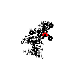 CC[C@@H]1[C@@H](O)C(OC2C(NCc3ccccc3)C[C@H](NCc3ccccc3)C(OC3O[C@H](C(C)N(C)Cc4ccccc4)CC[C@H]3N(CCNC[C@@]3(O)C(O[C@@H]4OC(CO)[C@H](O)[C@H](O)C4NC)[C@H](OC4[C@@H](NC(=N)N)C(O)C(NC(=N)N)[C@H](O)[C@@H]4O)O[C@H]3C)Cc3ccccc3)[C@@H]2O)OC[C@]1(C)O